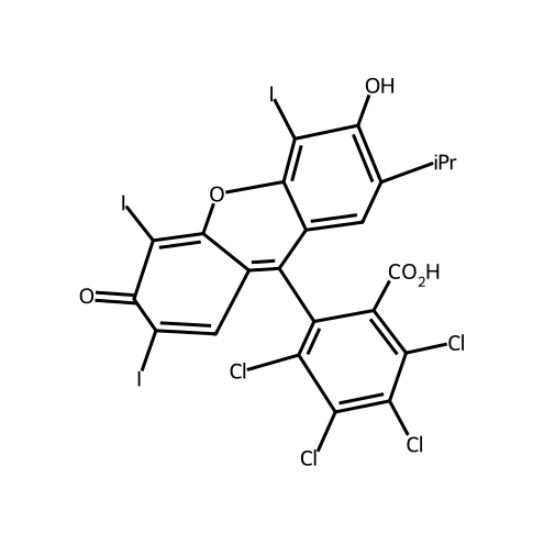 CC(C)c1cc2c(-c3c(Cl)c(Cl)c(Cl)c(Cl)c3C(=O)O)c3cc(I)c(=O)c(I)c-3oc2c(I)c1O